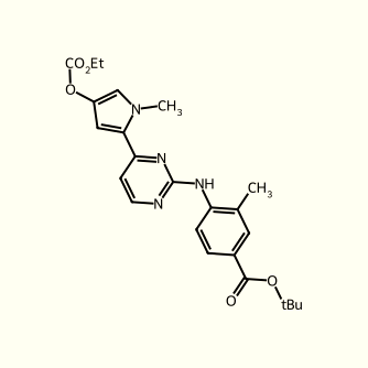 CCOC(=O)Oc1cc(-c2ccnc(Nc3ccc(C(=O)OC(C)(C)C)cc3C)n2)n(C)c1